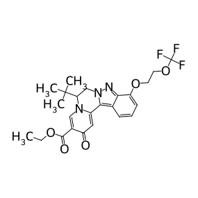 CCOC(=O)c1cn2c(cc1=O)-c1c3cccc(OCCOC(F)(F)F)c3nn1CC2C(C)(C)C